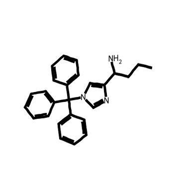 CCCC(N)c1cn(C(c2ccccc2)(c2ccccc2)c2ccccc2)cn1